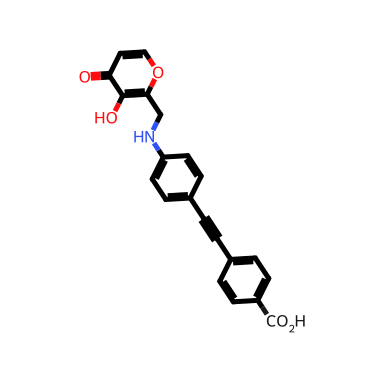 O=C(O)c1ccc(C#Cc2ccc(NCc3occc(=O)c3O)cc2)cc1